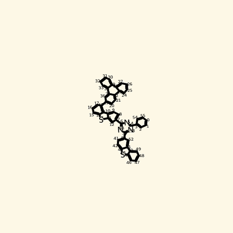 c1ccc(-c2nc(-c3ccc4c(c3)sc3cccc(-c5ccc6c7ccccc7c7ccccc7c6c5)c34)nc(-c3ccc4sc5ccccc5c4c3)n2)cc1